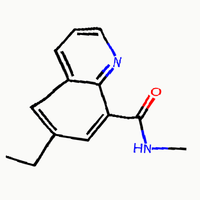 CCc1cc(C(=O)NC)c2ncccc2c1